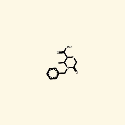 COC(=O)C1OCC(=O)N(Cc2ccccc2)C1C